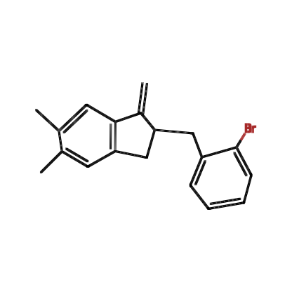 C=C1c2cc(C)c(C)cc2CC1Cc1ccccc1Br